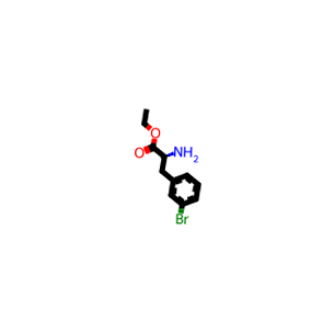 CCOC(=O)[C@@H](N)Cc1cccc(Br)c1